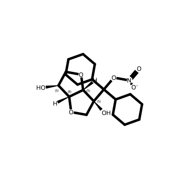 O=[N+]([O-])OC(C1CCCCC1)(C1CCCCC1)[C@]1(O)CO[C@@H]2[C@@H](O)CO[C@@H]21